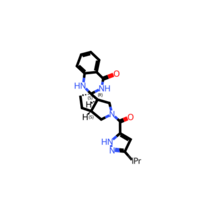 CC(C)c1cc(C(=O)N2C[C@H]3CC[C@]4(NC(=O)c5ccccc5N4)[C@H]3C2)[nH]n1